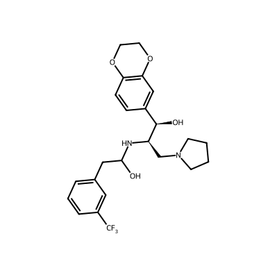 OC(Cc1cccc(C(F)(F)F)c1)N[C@H](CN1CCCC1)[C@H](O)c1ccc2c(c1)OCCO2